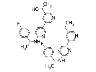 CC(O)c1cncc(-c2ccc(N[C@H](C)c3ccc(F)cc3)nc2)c1.CCc1cncc(-c2cnc(N[C@H](C)c3ccc(F)cc3)cn2)c1